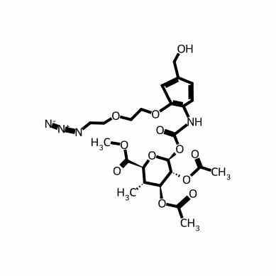 COC(=O)[C@H]1O[C@@H](OC(=O)Nc2ccc(CO)cc2OCCOCCN=[N+]=[N-])[C@H](OC(C)=O)[C@@H](OC(C)=O)[C@@H]1C